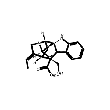 C/C=C1/CN2[C@@H]3C[C@@]45c6ccccc6N[C@]4(O3)[C@@H]2C[C@@H]1[C@@]5(CO)C(=O)OC